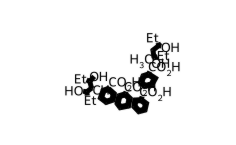 CCC(O)C(C)C(O)CC.CCC(O)CC(C)(O)CC.O=C(O)c1ccccc1.O=C(O)c1ccccc1.O=C(O)c1ccccc1.O=C(O)c1ccccc1